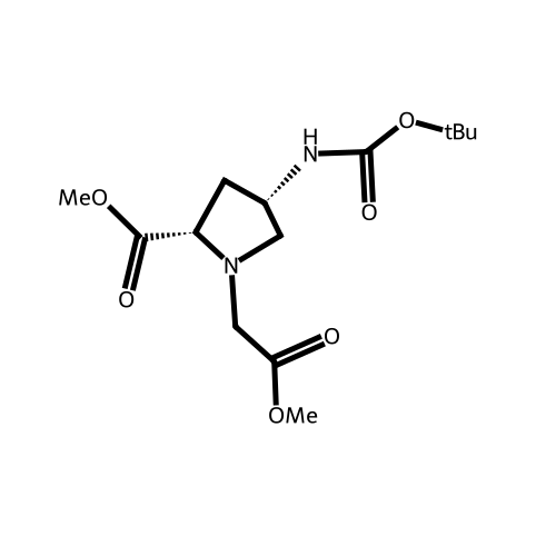 COC(=O)CN1C[C@@H](NC(=O)OC(C)(C)C)C[C@H]1C(=O)OC